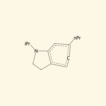 CCCc1ccc2c(c1)N(C(C)C)CC2